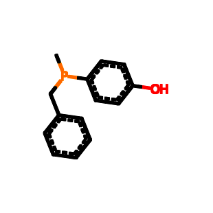 CP(Cc1ccccc1)c1ccc(O)cc1